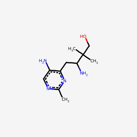 Cc1ncc(N)c(CC(N)C(C)(C)CO)n1